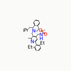 CCc1cccc(CC)c1-c1cc(CNS(C)(=O)=O)c(CN2CCc3ccccc3C2CC(C)C)c(C)n1